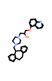 OC(COc1cccc2ncccc12)CN1CCN(CC2c3ccccc3CCc3ccccc32)CC1